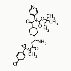 CN(C(=O)CC(N)[C@H]1CC[C@H](C(=O)N(C(=O)OC(C)(C)C)c2ccncc2)CC1)C1(c2ccc(Cl)cc2)CC1